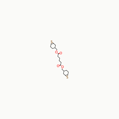 O=C(CCCCC(=O)OCC1CCC2SC2C1)OCC1CCC2SC2C1